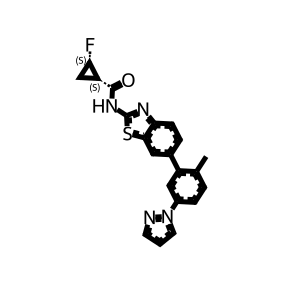 Cc1ccc(-n2cccn2)cc1-c1ccc2nc(NC(=O)[C@@H]3C[C@@H]3F)sc2c1